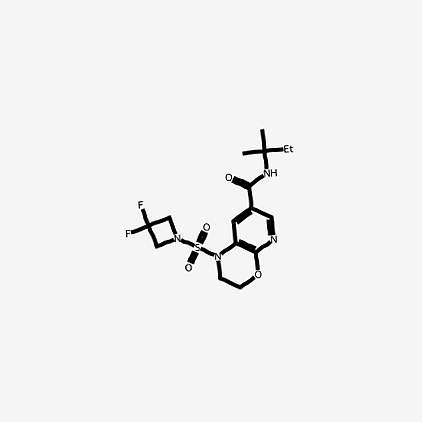 CCC(C)(C)NC(=O)c1cnc2c(c1)N(S(=O)(=O)N1CC(F)(F)C1)CCO2